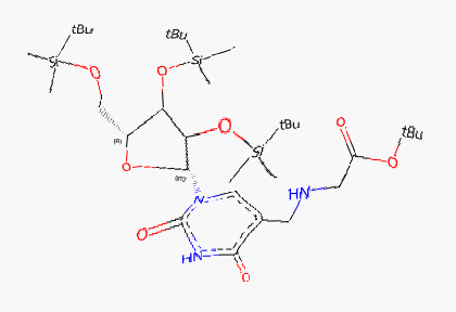 CC(C)(C)OC(=O)CNCc1cn([C@@H]2O[C@H](CO[Si](C)(C)C(C)(C)C)C(O[Si](C)(C)C(C)(C)C)C2O[Si](C)(C)C(C)(C)C)c(=O)[nH]c1=O